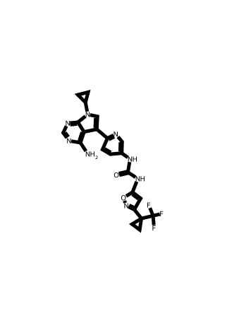 Nc1ncnc2c1c(-c1ccc(NC(=O)Nc3cc(C4(C(F)(F)F)CC4)no3)cn1)cn2C1CC1